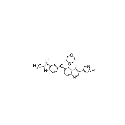 Cc1nc2ccc(Oc3ccc4ncc(-c5cn[nH]c5)nc4c3N3CCOCC3)cc2[nH]1